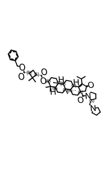 CC(C)C1=C2[C@H]3CC[C@@H]4[C@@]5(C)CC[C@H](OC(=O)[C@H]6C[C@@H](C(=O)OCc7ccccc7)C6(C)C)C(C)(C)[C@@H]5CC[C@@]4(C)[C@]3(C)CC[C@@]2(C(=O)N2CCC[C@H]2CN2CCCC2)CC1=O